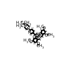 COc1ccc(CN(Cc2ccc(OC)cc2OC)S(=O)(=O)CC(O)c2ccc(N3CCN(C(C)(C)C)CC3)nc2)c(OC)c1